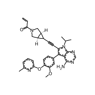 C=CC(=O)N1C[C@@H]2C(C#Cc3c(-c4ccc(Oc5cccc(C)n5)c(OC)c4)c4c(N)ncnc4n3C(C)C)[C@@H]2C1